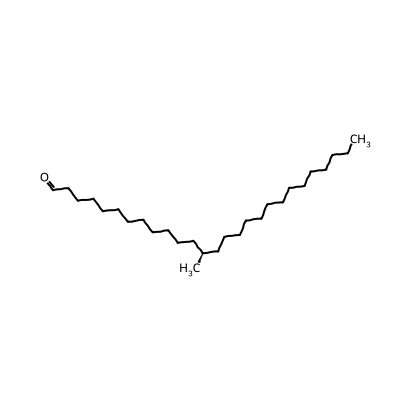 CCCCCCCCCCCCCC[C@@H](C)CCCCCCCCCCCC=O